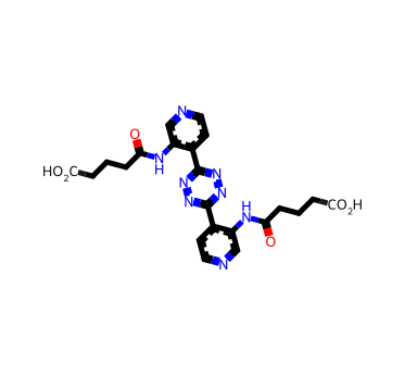 O=C(O)CCCC(=O)Nc1cnccc1-c1nnc(-c2ccncc2NC(=O)CCCC(=O)O)nn1